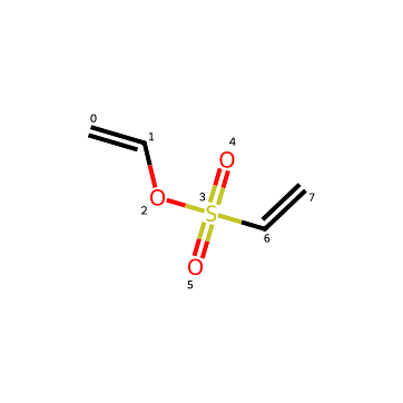 C=COS(=O)(=O)C=C